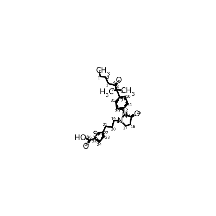 CCCCC(=O)C(C)(C)c1ccc(N2C(=O)CCN2CCCc2ccc(C(=O)O)s2)cc1